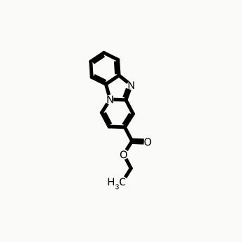 CCOC(=O)c1ccn2c(c1)nc1ccccc12